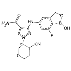 N#CC1CCOC[C@@H]1n1cc(C(N)=O)c(Nc2cc(F)c3c(c2)COB3O)n1